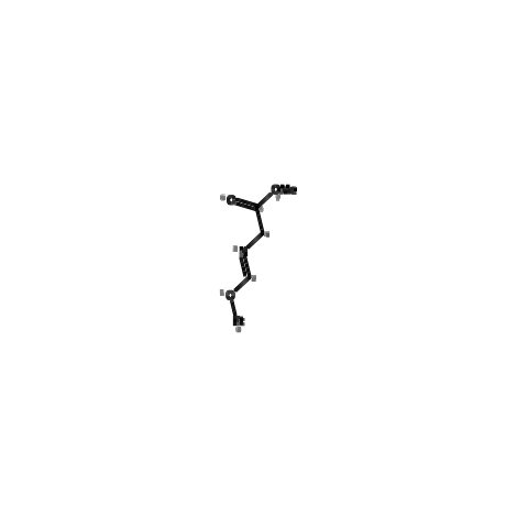 CCOC=NCC(=O)OC